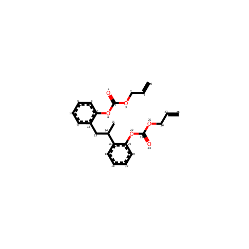 C=CCOC(=O)Oc1ccccc1CC(C)c1ccccc1OC(=O)OCC=C